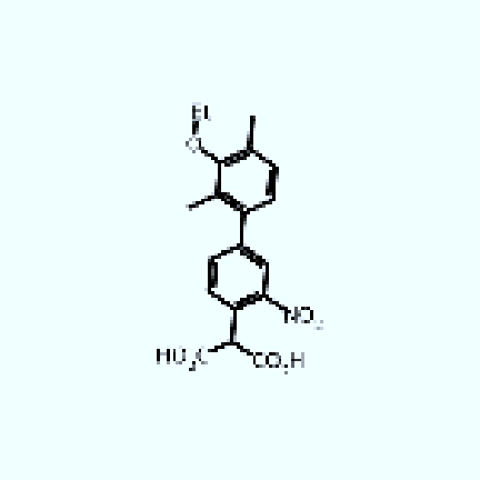 CCOc1c(C)ccc(-c2ccc(C(C(=O)O)C(=O)O)c([N+](=O)[O-])c2)c1C